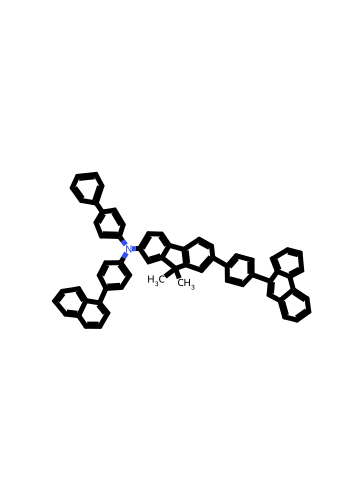 CC1(C)c2cc(-c3ccc(-c4cc5ccccc5c5ccccc45)cc3)ccc2-c2ccc(N(c3ccc(-c4ccccc4)cc3)c3ccc(-c4cccc5ccccc45)cc3)cc21